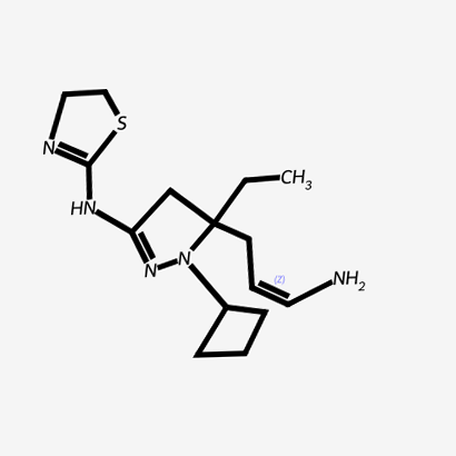 CCC1(C/C=C\N)CC(NC2=NCCS2)=NN1C1CCC1